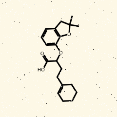 CC1(C)Cc2cccc(OC(CCC3=CCCCC3)C(=O)O)c2O1